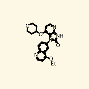 CCOc1ccnc2ccc(-n3c(=O)[nH]c4nccc(OC5CCOCC5)c43)cc12